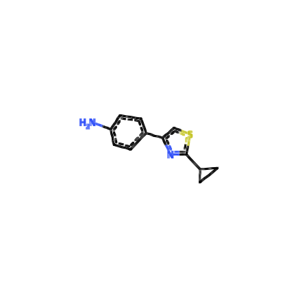 Nc1ccc(-c2csc(C3CC3)n2)cc1